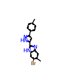 Cc1ccc(-c2cc(-c3nc4cc(C)c(Br)cc4[nH]3)[nH]n2)cc1